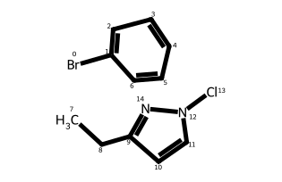 Brc1ccccc1.CCc1ccn(Cl)n1